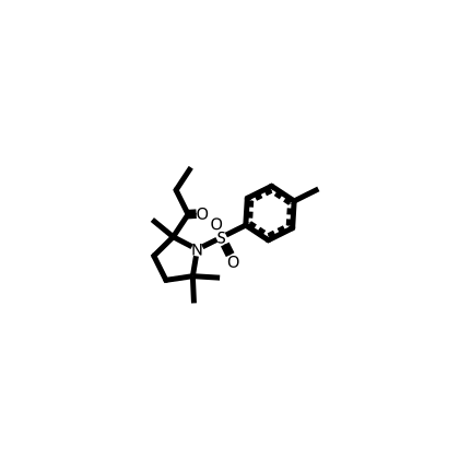 CCC(=O)C1(C)CCC(C)(C)N1S(=O)(=O)c1ccc(C)cc1